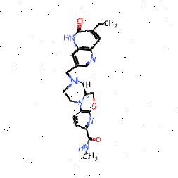 CCc1cc2ncc(CN3CCN4c5ccc(C(=O)NC)nc5OC[C@@H]4C3)cc2[nH]c1=O